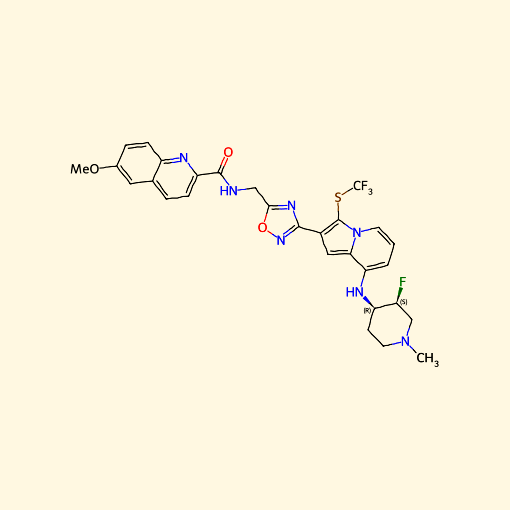 COc1ccc2nc(C(=O)NCc3nc(-c4cc5c(N[C@@H]6CCN(C)C[C@@H]6F)cccn5c4SC(F)(F)F)no3)ccc2c1